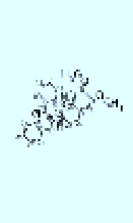 COc1cc2c(cc1OC)[C@H]1c3ccccc3C(=O)N(Cc3ccccc3)[C@@H]1CC2